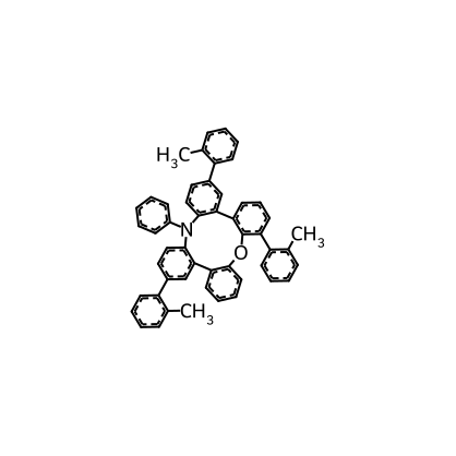 Cc1ccccc1-c1ccc2c(c1)-c1ccccc1Oc1c(-c3ccccc3C)cccc1-c1cc(-c3ccccc3C)ccc1N2c1ccccc1